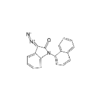 [N-]=[N+]=C1C(=O)N(c2cccc3ccccc23)c2ccccc21